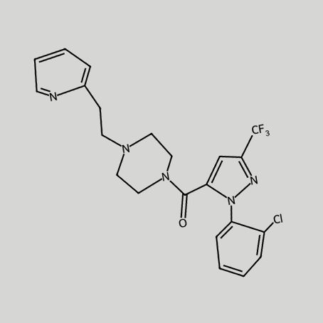 O=C(c1cc(C(F)(F)F)nn1-c1ccccc1Cl)N1CCN(CCc2ccccn2)CC1